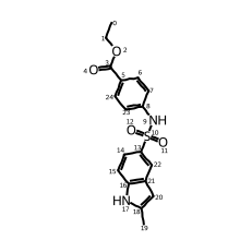 CCOC(=O)c1ccc(NS(=O)(=O)c2ccc3[nH]c(C)cc3c2)cc1